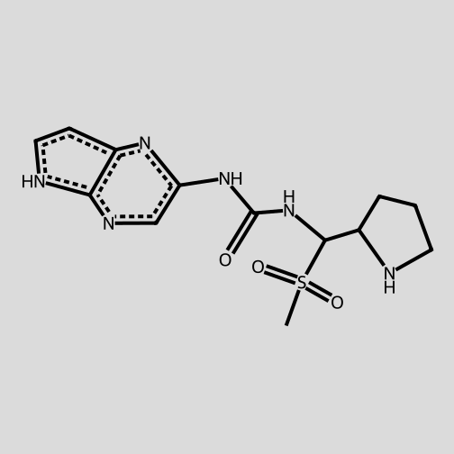 CS(=O)(=O)C(NC(=O)Nc1cnc2[nH]ccc2n1)C1CCCN1